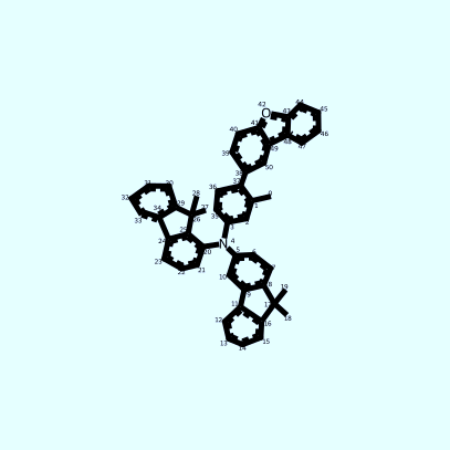 Cc1cc(N(c2ccc3c(c2)-c2ccccc2C3(C)C)c2cccc3c2C(C)(C)c2ccccc2-3)ccc1-c1ccc2oc3ccccc3c2c1